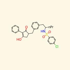 CCCC(Cc1cccc(CC2CC(O)=C(c3ccccc3)C2=O)c1)NS(=O)(=O)c1ccc(Cl)cc1